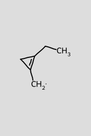 [CH2]C1=C(CC)C1